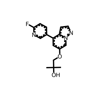 CC(C)(O)COc1cc(-c2ccc(F)nc2)c2ccnn2c1